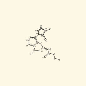 CCCC(=O)NOCc1c(C(F)F)cccc1-n1nnn(C)c1=O